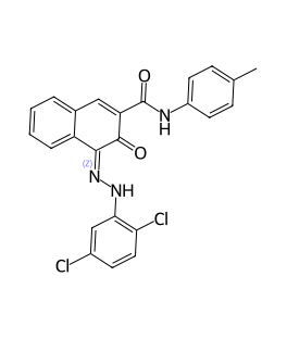 Cc1ccc(NC(=O)C2=Cc3ccccc3/C(=N/Nc3cc(Cl)ccc3Cl)C2=O)cc1